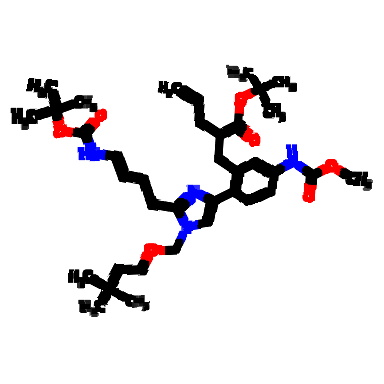 C=CCC(Cc1cc(NC(=O)OC)ccc1-c1cn(COCC[Si](C)(C)C)c(CCC=CNC(=O)OC(C)(C)C)n1)C(=O)OC(C)(C)C